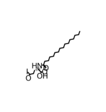 CCCCCCCCCCCCCCCC(=O)N[C@@H](CCC(=O)I)C(=O)O